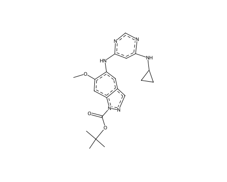 COc1cc2c(cnn2C(=O)OC(C)(C)C)cc1Nc1cc(NC2CC2)ncn1